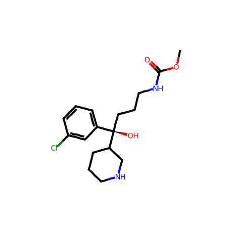 COC(=O)NCCC[C@@](O)(c1cccc(Cl)c1)C1CCCNC1